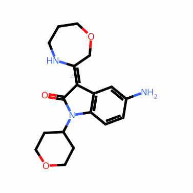 Nc1ccc2c(c1)/C(=C1\COCCCN1)C(=O)N2C1CCOCC1